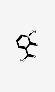 O=C(O)c1cccn(O)c1=O